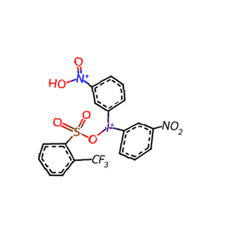 O=[N+]([O-])c1cccc([I+](OS(=O)(=O)c2ccccc2C(F)(F)F)c2cccc([N+](=O)O)c2)c1